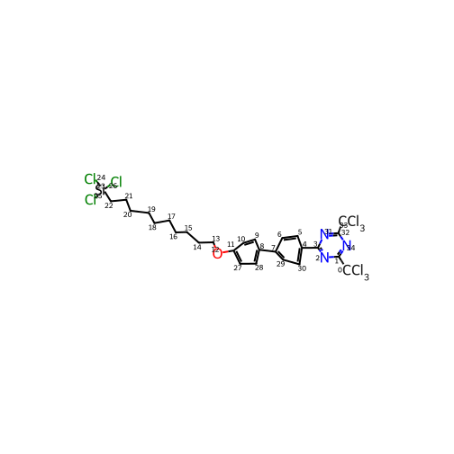 ClC(Cl)(Cl)c1nc(-c2ccc(-c3ccc(OCCCCCCCCCC[Si](Cl)(Cl)Cl)cc3)cc2)nc(C(Cl)(Cl)Cl)n1